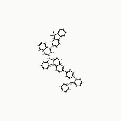 CC1(C)c2ccccc2-c2ccc(-c3nc(-n4c5ccccc5c5c6ccc(-c7ccc8c9ccccc9n(-c9ccccc9)c8c7)cc6ccc54)nc4ccccc34)cc21